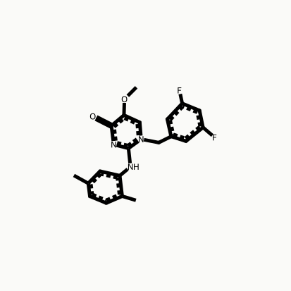 COc1cn(Cc2cc(F)cc(F)c2)c(Nc2cc(C)ccc2C)nc1=O